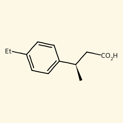 CCc1ccc([C@H](C)CC(=O)O)cc1